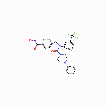 O=C(NO)c1ccc(CN(C(=O)N2CCN(c3ccccc3)CC2)c2cccc(C(F)(F)F)c2)cc1